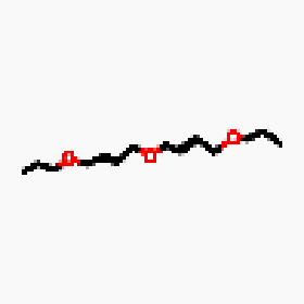 CCCOCC=CCOCC=CCOCCC